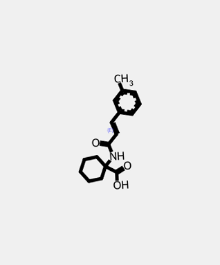 Cc1cccc(/C=C/C(=O)NC2(C(=O)O)CCCCC2)c1